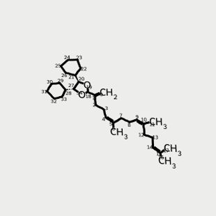 C=C(CCC=C(C)CCC=C(C)CCC=C(C)C)C1O[C@H](C2CCCCC2)[C@@H](C2CCCCC2)O1